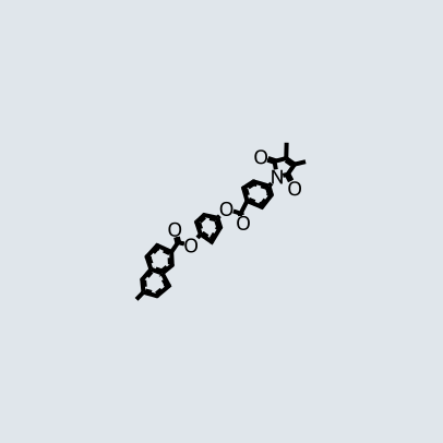 CC1=C(C)C(=O)N(c2ccc(C(=O)Oc3ccc(OC(=O)c4ccc5cc(C)ccc5c4)cc3)cc2)C1=O